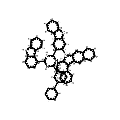 c1ccc(-c2cccc(-c3nc(-c4cc5c(cc4-n4c6cc7ccccc7cc6c6c7ccccc7ccc64)oc4ccccc45)nc(-c4cccc5sc6ccccc6c45)n3)c2)cc1